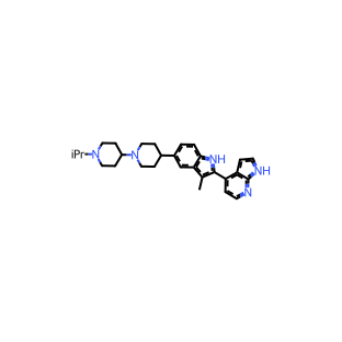 Cc1c(-c2ccnc3[nH]ccc23)[nH]c2ccc(C3CCN(C4CCN(C(C)C)CC4)CC3)cc12